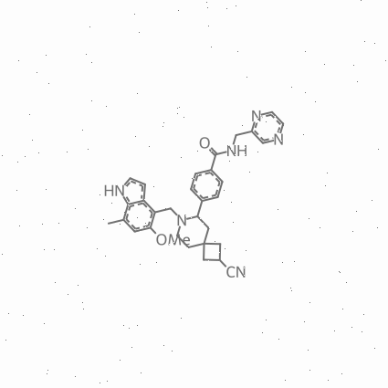 COc1cc(C)c2[nH]ccc2c1CN1CCC2(CC(C#N)C2)CC1c1ccc(C(=O)NCc2cnccn2)cc1